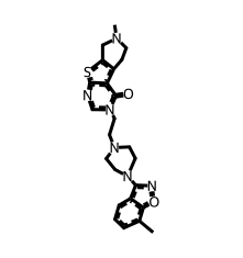 Cc1cccc2c(N3CCN(CCn4cnc5sc6c(c5c4=O)CCN(C)C6)CC3)noc12